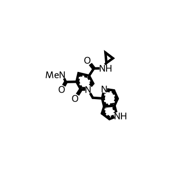 CNC(=O)c1cc(C(=O)NC2CC2)cn(Cc2nccc3[nH]ccc23)c1=O